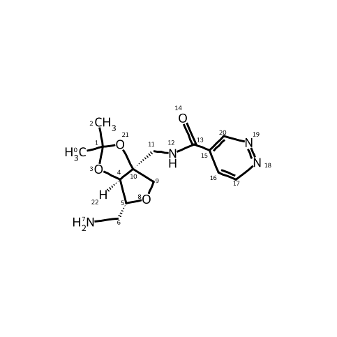 CC1(C)O[C@@H]2[C@@H](CN)OC[C@]2(CNC(=O)c2ccnnc2)O1